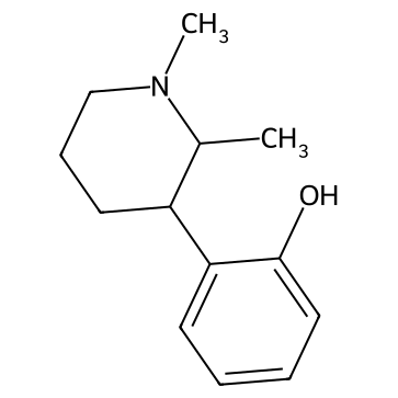 CC1C(c2ccccc2O)CCCN1C